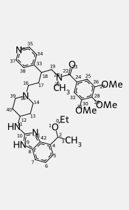 CCOC(C)c1cccc2[nH]c(NC3CCN(CCC(CN(C)C(=O)c4cc(OC)c(OC)c(OC)c4)c4ccncc4)CC3)nc12